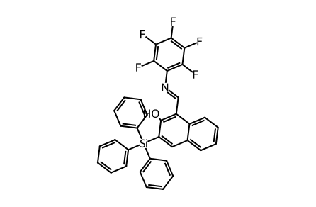 Oc1c([Si](c2ccccc2)(c2ccccc2)c2ccccc2)cc2ccccc2c1/C=N/c1c(F)c(F)c(F)c(F)c1F